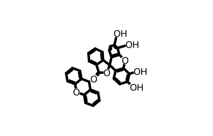 O=C1OC2(c3ccccc31)c1ccc(O)c(O)c1Oc1c2ccc(O)c1O.c1ccc2c(c1)Cc1ccccc1O2